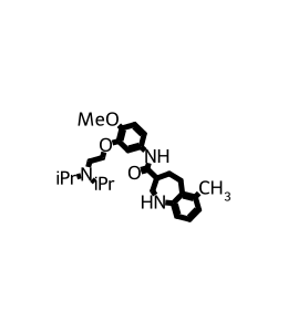 COc1ccc(NC(=O)C2CCc3c(C)cccc3NC2)cc1OCCN(C(C)C)C(C)C